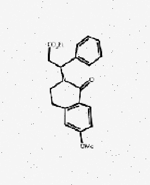 CCOC(=O)CC(c1ccccc1)N1CCc2cc(OC)ccc2C1=O